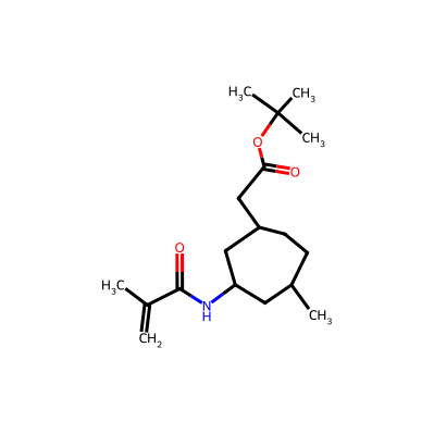 C=C(C)C(=O)NC1CC(C)CCC(CC(=O)OC(C)(C)C)C1